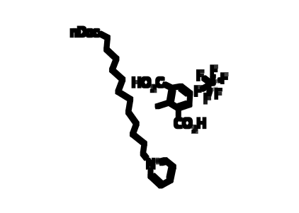 CCCCCCCCCCCCCCCCCCCCCC[n+]1ccccc1.Cc1c(C(=O)O)cccc1C(=O)O.F[P-](F)(F)(F)(F)F